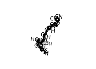 Cc1ncsc1-c1ccc(CNC(=O)[C@@H]2C[C@@H](O)CN2C(=O)[C@@H](NC(=O)CNC(=O)CCCOc2ccc(C(=O)N[C@H]3C(C)(C)[C@H](Oc4ccc(C#N)c(Cl)c4)C3(C)C)cc2)C(C)(C)C)cc1